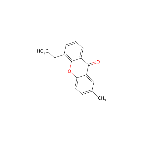 Cc1ccc2oc3c(CC(=O)O)cccc3c(=O)c2c1